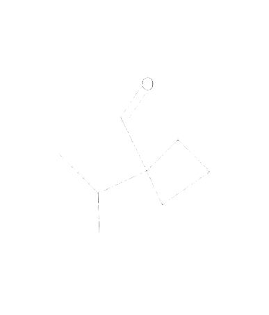 CC(C)C1(C=O)CCC1